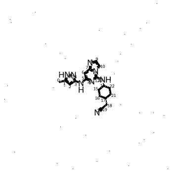 Cc1cc(Nc2cc3nccn3c(N[C@H]3CC[C@H](CC#N)CC3)n2)n[nH]1